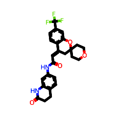 O=C(/C=C1\CC2(CCOCC2)Oc2cc(C(F)(F)F)ccc21)Nc1ccc2c(c1)NC(=O)CC2